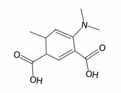 CC1C=C(N(C)C)C(C(=O)O)=CC1C(=O)O